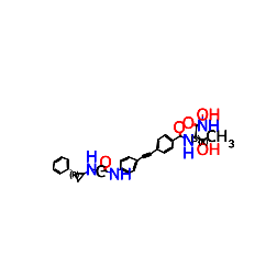 C[C@@H](O)[C@H](NC(=O)c1ccc(C#Cc2ccc(NC(=O)CNC3C[C@@H]3c3ccccc3)cc2)cc1)C(=O)NO